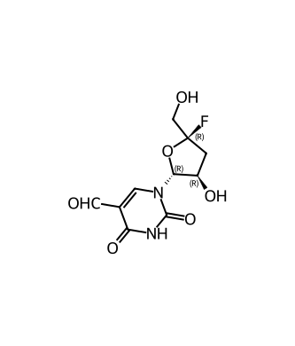 O=Cc1cn([C@@H]2O[C@](F)(CO)C[C@H]2O)c(=O)[nH]c1=O